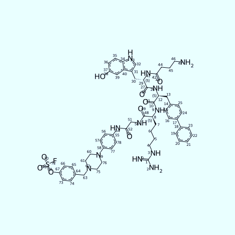 N=C(N)NCCCC[C@H](NC(=O)[C@H](Cc1ccc(-c2ccccc2)cc1)NC(=O)[C@H](Cc1c[nH]c2ccc(O)cc12)NC(=O)CCCN)C(=O)NCC(=O)Nc1ccc(N2CCN(Cc3ccc(OS(=O)(=O)F)cc3)CC2)cc1